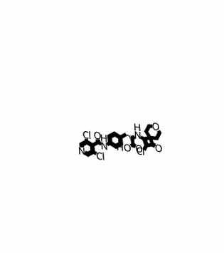 O=C(Nc1ccc(C[C@H](NC2=C(Cl)C(=O)C23CCOCC3)C(=O)O)cc1)c1c(Cl)cncc1Cl